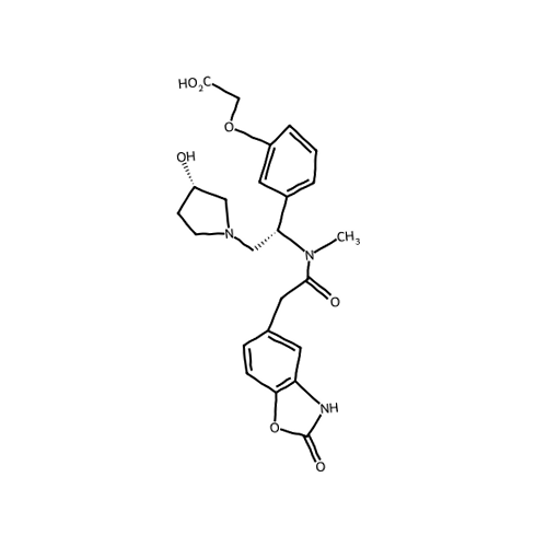 CN(C(=O)Cc1ccc2oc(=O)[nH]c2c1)[C@H](CN1CC[C@H](O)C1)c1cccc(OCC(=O)O)c1